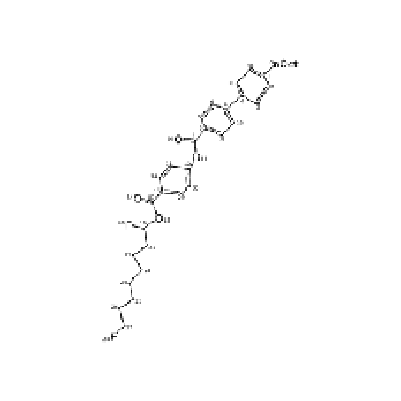 CCCCCCCCc1ccc(-c2ccc(C(=O)Oc3ccc(C(=O)OC(F)CCCCCCCF)cc3)cc2)cc1